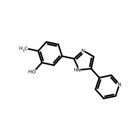 Cc1ccc(-c2ncc(-c3cccnc3)[nH]2)cc1O